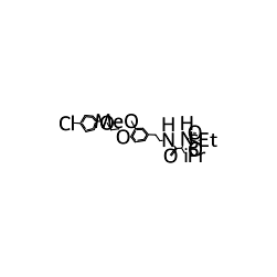 CCS(=O)(=O)NC(C(=O)NCCc1ccc(OCCOc2ccc(Cl)cc2)c(OC)c1)C(C)C